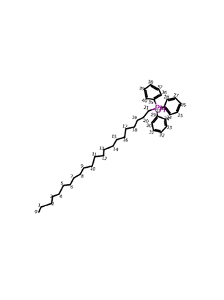 CCCCCCCCCCCCCCCCCCCCCC[PH](c1ccccc1)(c1ccccc1)c1ccccc1